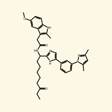 CCC(=O)CCCCCC(NC(=O)Cc1c(C)[nH]c2ccc(OC)cc12)C1=[N+]C=C(c2cccc(-n3nc(C)cc3C)c2)N1